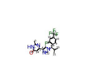 Cc1nc(-c2cn(C(c3ccc(C(F)(F)F)cc3F)C(C)C)cn2)cc(=O)[nH]1